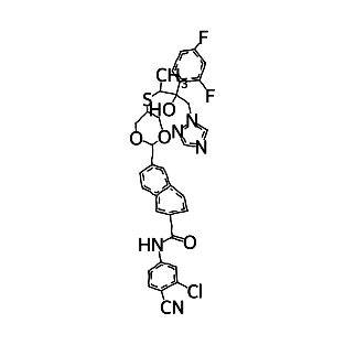 CC(SC1COC(c2ccc3cc(C(=O)Nc4ccc(C#N)c(Cl)c4)ccc3c2)OC1)C(O)(Cn1cncn1)c1ccc(F)cc1F